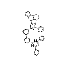 c1ccc(-c2nc(-c3cccc(-c4cccc(-c5nc(-c6ccccc6)nc(-c6ccccc6)n5)c4)c3)cc(-c3cc4ccccc4c4ccccc34)n2)cc1